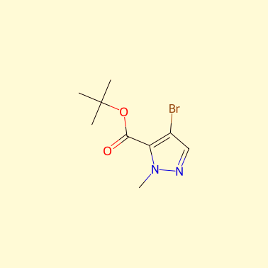 Cn1ncc(Br)c1C(=O)OC(C)(C)C